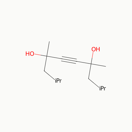 [CH2]C(C)CC(C)(O)C#CC(C)(O)CC(C)C